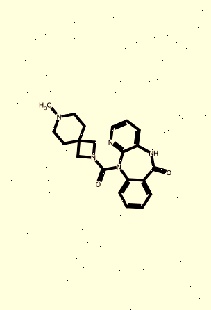 CN1CCC2(CC1)CN(C(=O)N1c3ccccc3C(=O)Nc3cccnc31)C2